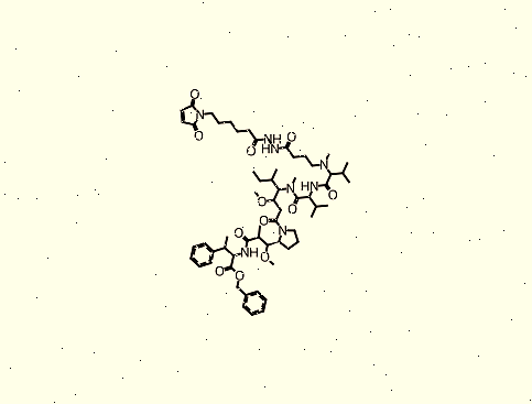 CCC(C)C(C(CC(=O)N1CCC[C@H]1C(OC)C(C)C(=O)NC(C(=O)OCc1ccccc1)C(C)c1ccccc1)OC)N(C)C(=O)C(NC(=O)C(C(C)C)N(C)CCCC(=O)NNC(=O)CCCCCN1C(=O)C=CC1=O)C(C)C